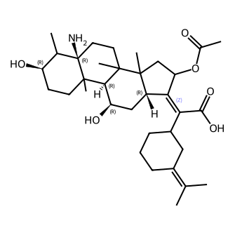 CC(=O)OC1CC2(C)[C@@H](C[C@@H](O)[C@@H]3C2(C)CC[C@@]2(N)C(C)[C@H](O)CCC32C)/C1=C(/C(=O)O)C1CCCC(=C(C)C)C1